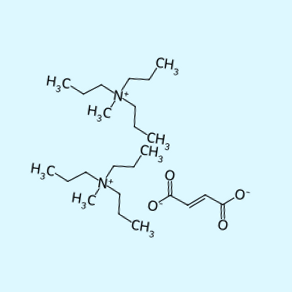 CCC[N+](C)(CCC)CCC.CCC[N+](C)(CCC)CCC.O=C([O-])C=CC(=O)[O-]